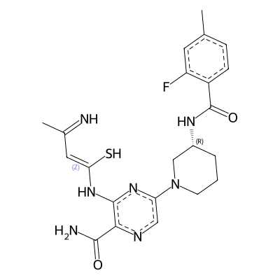 CC(=N)/C=C(\S)Nc1nc(N2CCC[C@@H](NC(=O)c3ccc(C)cc3F)C2)cnc1C(N)=O